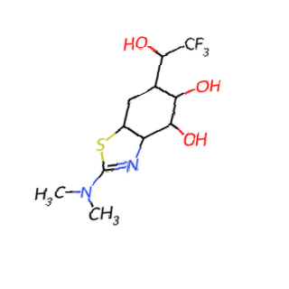 CN(C)C1=NC2C(CC(C(O)C(F)(F)F)C(O)C2O)S1